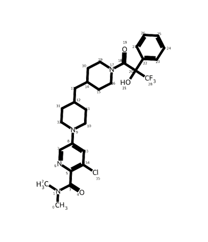 CN(C)C(=O)c1ncc(N2CCC(CC3CCN(C(=O)C(O)(c4ccccc4)C(F)(F)F)CC3)CC2)cc1Cl